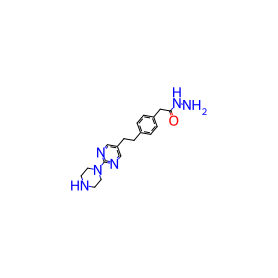 NNC(=O)Cc1ccc(CCc2cnc(N3CCNCC3)nc2)cc1